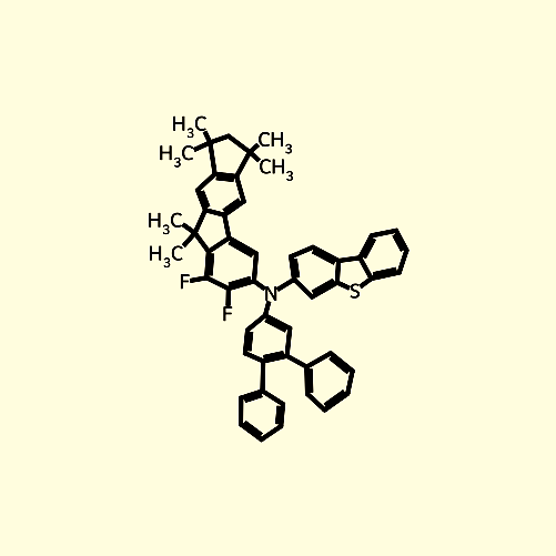 CC1(C)CC(C)(C)c2cc3c(cc21)-c1cc(N(c2ccc(-c4ccccc4)c(-c4ccccc4)c2)c2ccc4c(c2)sc2ccccc24)c(F)c(F)c1C3(C)C